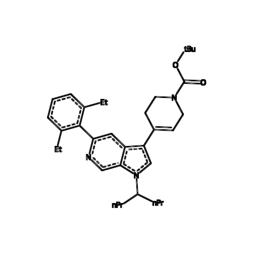 CCCC(CCC)n1cc(C2=CCN(C(=O)OC(C)(C)C)CC2)c2cc(-c3c(CC)cccc3CC)ncc21